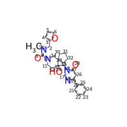 CN(Cc1ccco1)C(=O)N1CCC(O)(Cn2cnc(-c3ccccc3)cc2=O)C2(CCCC2)C1